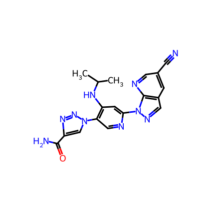 CC(C)Nc1cc(-n2ncc3cc(C#N)cnc32)ncc1-n1cc(C(N)=O)nn1